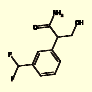 NC(=O)C(CO)c1cccc(C(F)F)c1